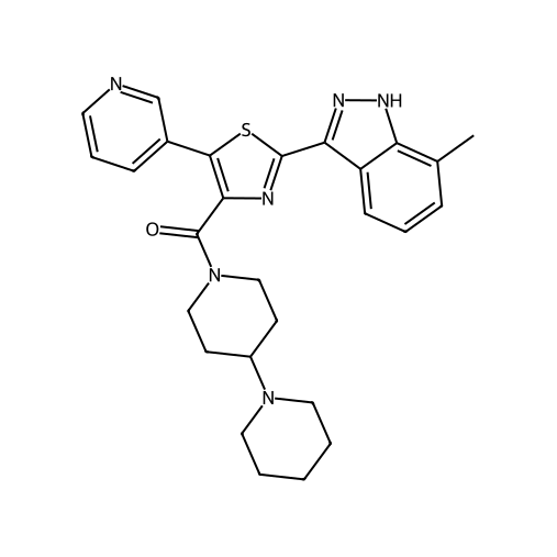 Cc1cccc2c(-c3nc(C(=O)N4CCC(N5CCCCC5)CC4)c(-c4cccnc4)s3)n[nH]c12